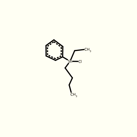 CCC[CH2][Sn]([Cl])([CH2]C)[c]1ccccc1